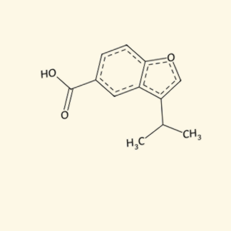 CC(C)c1coc2ccc(C(=O)O)cc12